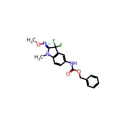 CO/N=C1\N(C)c2ccc(NC(=O)OCc3ccccc3)cc2C1(F)F